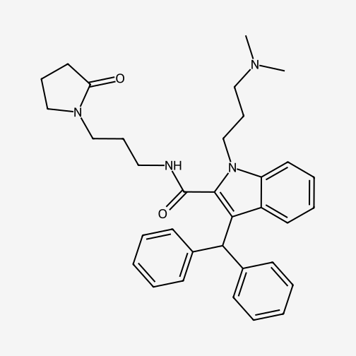 CN(C)CCCn1c(C(=O)NCCCN2CCCC2=O)c(C(c2ccccc2)c2ccccc2)c2ccccc21